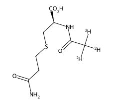 [2H]C([2H])([2H])C(=O)N[C@@H](CSCCC(N)=O)C(=O)O